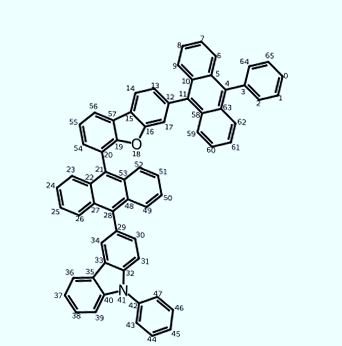 c1ccc(-c2c3ccccc3c(-c3ccc4c(c3)oc3c(-c5c6ccccc6c(-c6ccc7c(c6)c6ccccc6n7-c6ccccc6)c6ccccc56)cccc34)c3ccccc23)cc1